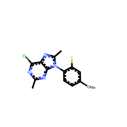 COc1ccc(-n2c(C)nc3c(Cl)nc(C)nc32)c(F)c1